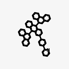 c1ccc(-c2ccc(-c3ccc4c(-c5cc6ccccc6c6ccccc56)c5ccccc5c(-c5cc6ccccc6c6ccccc56)c4c3)cc2)nc1